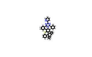 c1ccc(-c2nc(-c3ccccn3)nc(-c3ccccc3-c3cccc4c3Sc3ccccc3C43c4ccccc4-c4ccccc43)n2)cc1